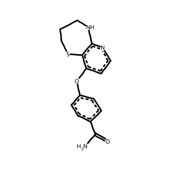 NC(=O)c1ccc(Oc2ccnc3c2SCCCN3)cc1